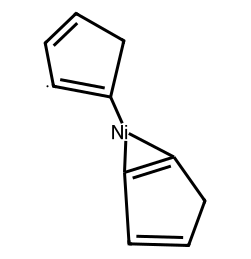 [C]1=[C]([Ni]2[C]3=[C]2CC=C3)CC=C1